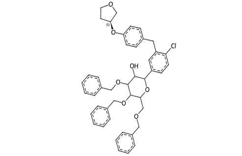 OC1C(c2ccc(Cl)c(Cc3ccc(O[C@H]4CCOC4)cc3)c2)OC(COCc2ccccc2)C(OCc2ccccc2)C1OCc1ccccc1